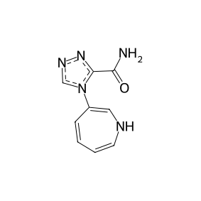 NC(=O)c1nncn1C1=CNC=CC=C1